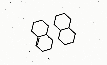 C1=C2CCCCC2CCC1.C1CCC2CCCCC2C1